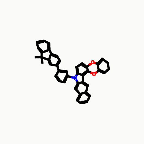 CC1(C)c2ccccc2-c2ccc(-c3cccc(-n4c5cc6ccccc6cc5c5c6c(ccc54)OC4=CCCC=C4O6)c3)cc21